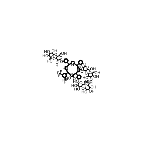 OCC1OC(OC2C(CO)OC(Oc3cccc(-c4c5nc(c(-c6cccc(OC7OC(CO)C(OC8OC(CO)C(O)C(O)C8O)C(O)C7O)c6)c6ccc([nH]6)c(-c6cc(C(F)(F)F)cc(C(F)(F)F)c6)c6nc(c(-c7cccc(OC8OC(CO)C(OC9OC(CO)C(O)C(O)C9O)C(O)C8O)c7)c7ccc4[nH]7)C(O)C6O)C=C5)c3)C(O)C2O)C(O)C(O)C1O